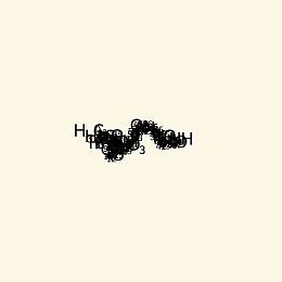 Cc1ccc(Nc2c3c(=O)n(C4CC4)c(=O)n(-c4cccc(NC(=O)C5CCC(C(=O)N6CCN(CC7CCN(c8cccc(C9CCC(=O)NC9=O)c8)CC7)CC6)CC5)c4)c3c(C)c(=O)n2C)c(F)c1